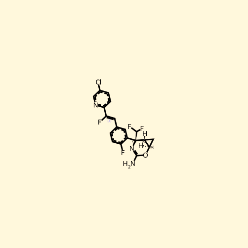 NC1=N[C@@](c2cc(/C=C(\F)c3ccc(Cl)cn3)ccc2F)(C(F)F)[C@H]2C[C@H]2O1